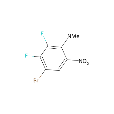 CNc1c([N+](=O)[O-])cc(Br)c(F)c1F